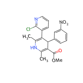 COC(=O)C1=C(C)NC(C)=C(c2cccnc2Cl)C1c1cccc([N+](=O)[O-])c1